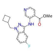 COC(=O)c1ccncc1Nc1nn(CC2CCC2)c2ccc(F)cc12